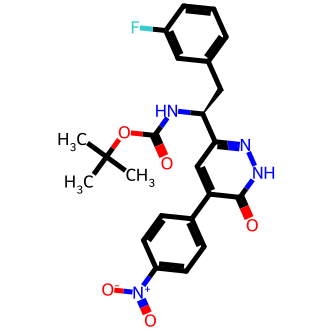 CC(C)(C)OC(=O)N[C@@H](Cc1cccc(F)c1)c1cc(-c2ccc([N+](=O)[O-])cc2)c(=O)[nH]n1